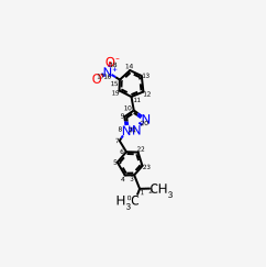 CC(C)c1ccc(Cn2cc(-c3cccc([N+](=O)[O-])c3)nn2)cc1